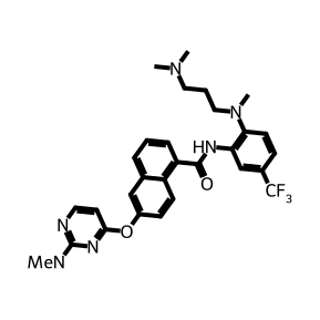 CNc1nccc(Oc2ccc3c(C(=O)Nc4cc(C(F)(F)F)ccc4N(C)CCCN(C)C)cccc3c2)n1